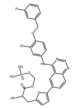 CCCN(Cc1ccc(-c2ccc3ncnc(Nc4ccc(OCc5cccc(F)c5)c(Cl)c4)c3c2)o1)C(=O)OCOP(=O)(O)O